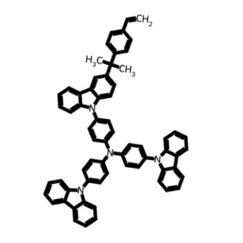 C=Cc1ccc(C(C)(C)c2ccc3c(c2)c2ccccc2n3-c2ccc(N(c3ccc(-n4c5ccccc5c5ccccc54)cc3)c3ccc(-n4c5ccccc5c5ccccc54)cc3)cc2)cc1